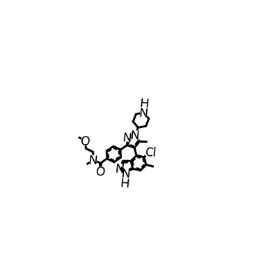 COCCN(C)C(=O)c1ccc(-c2nn(C3CCNCC3)c(C)c2-c2c(Cl)c(C)cc3[nH]ncc23)cc1